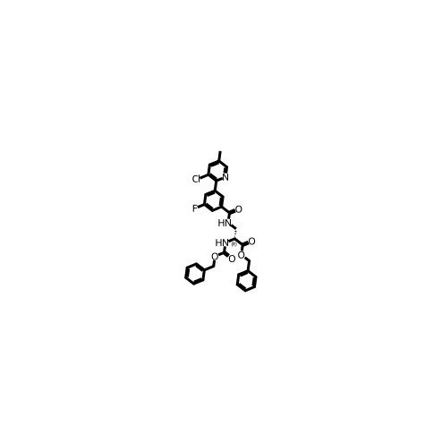 Cc1cnc(-c2cc(F)cc(C(=O)NC[C@@H](NC(=O)OCc3ccccc3)C(=O)OCc3ccccc3)c2)c(Cl)c1